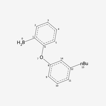 Bc1ccccc1Oc1cccc(CCCC)c1